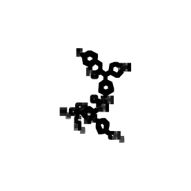 Cc1ccc(-n2nc(C(C)(C)C)cc2NC(=O)Nc2ccc(C(C(=O)Cc3ccc(F)cc3F)C3CCNCC3)cc2)cc1